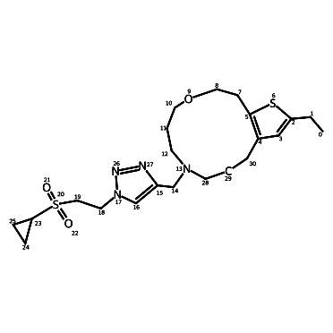 CCc1cc2c(s1)CCOCCCN(Cc1cn(CCS(=O)(=O)C3CC3)nn1)CCC2